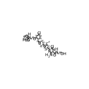 CC[C@H]1CN(c2nc(N)c(C(=O)NCCO)nc2Cl)CCN1C1CCN(Cc2ccc(Cl)cc2OCCNS(=O)(=O)C(C)(F)F)CC1